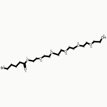 O=C(CCCCBr)OCCOCCOCCOCCOCCOCCO